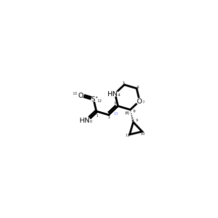 N=C(/C=C1\NCCO[C@@H]1C1CC1)[S+]=O